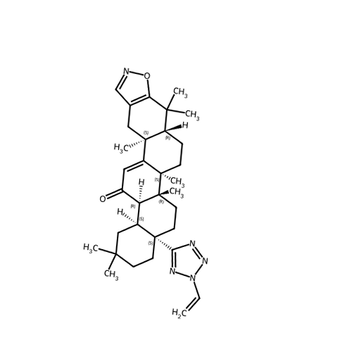 C=Cn1nnc([C@]23CCC(C)(C)C[C@H]2[C@H]2C(=O)C=C4[C@@]5(C)Cc6cnoc6C(C)(C)[C@@H]5CC[C@@]4(C)[C@]2(C)CC3)n1